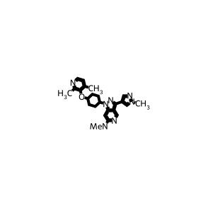 CNc1cc2c(cn1)c(-c1cnn(C)c1)nn2C1CCC(Oc2c(C)ccnc2C)CC1